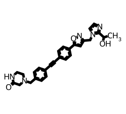 CC(O)c1nccn1Cc1cc(-c2ccc(C#Cc3ccc(CN4CCNC(=O)C4)cc3)cc2)on1